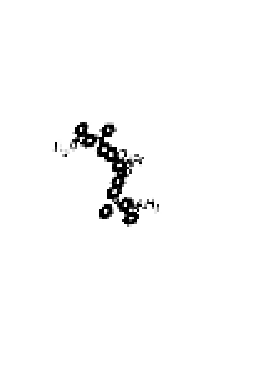 CC(C)c1c2oc3cc4cc(N(c5ccccc5)c5ccc6c(c5)c5ccccc5n6C)ccc4cc3c2cc2c1oc1cc3cc(N(c4ccccc4)c4ccc5c(c4)c4ccccc4n5C)ccc3cc12